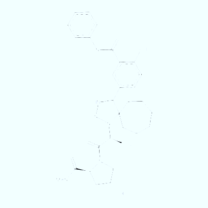 CNC(=O)[C@@H]1C[C@@H](O)CN1C(=O)[C@@H](N1NNC(c2ccc(C)c(C(=O)Nc3ccccc3)c2)C12CCCCCC2)C(C)(C)C